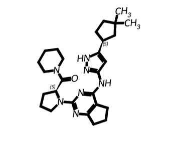 CC1(C)CC[C@H](c2cc(Nc3nc(N4CCC[C@H]4C(=O)N4CCCCC4)nc4c3CCC4)n[nH]2)C1